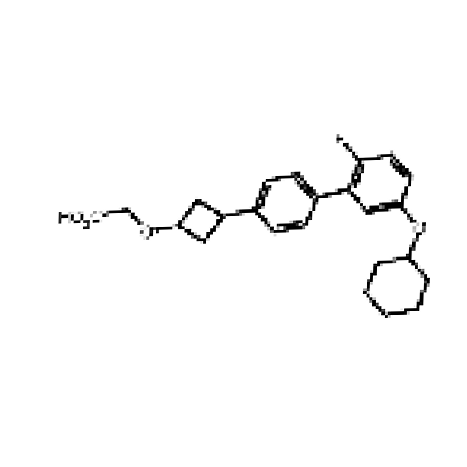 O=C(O)CO[C@H]1C[C@@H](c2ccc(-c3cc(OC4CCCCC4)ccc3F)cc2)C1